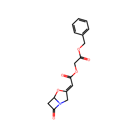 O=C(/C=C1/CN2C(=O)CC2O1)OCC(=O)OCc1ccccc1